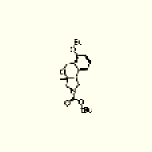 CCOc1cccc2c1COC1(C)CN(C(=O)OC(C)(C)C)CC21